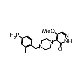 COc1cn[nH]c(=O)c1N1CCN(Cc2ccc(P)cc2C)CC1